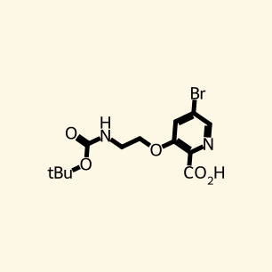 CC(C)(C)OC(=O)NCCOc1cc(Br)cnc1C(=O)O